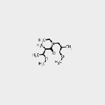 CCN(CC(C)COC)C(=O)C(C)C(C)OC